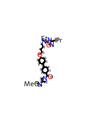 CCN(CCCCOC1C=CC(C2=CCC(C(=O)N3CC(=NOC)C3)CC2)=CC1)c1nc(C(C)C)no1